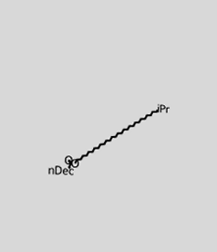 CCCCCCCCCCCC(=O)OCCCCCCCCCCCCCCCCCCCCCCCCCCCCC(C)C